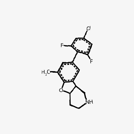 Cc1cc(-c2c(F)cc(Cl)cc2F)cc2c1OC1CCNCC21